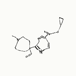 CN1CCC(C=O)(c2nccc(NSC3CC3)n2)CC1